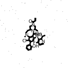 C=CC(=O)N1CC(C)N2C(=N)c3c(Nc4c(C)ccnc4C(C)O)c(F)c(-c4ccccc4O)c(Cl)c3N(C)CCC2C1